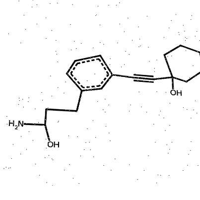 NC(O)CCc1cccc(C#CC2(O)CCCCC2)c1